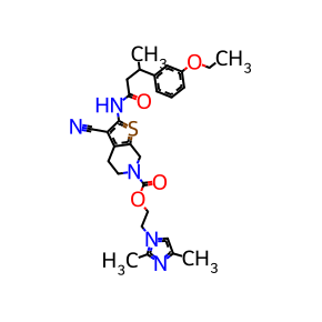 CCOc1cccc(C(C)CC(=O)Nc2sc3c(c2C#N)CCN(C(=O)OCCn2cc(C)nc2C)C3)c1